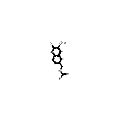 CCC(=O)OCc1ccc2oc(=O)c(C(=O)O)cc2c1